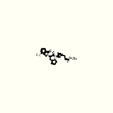 CC(C)(C)OC(=O)CCn1ccc(NC(=O)C(CC2CCCC2)N2Cc3c(cccc3C(F)(F)F)C2=O)n1